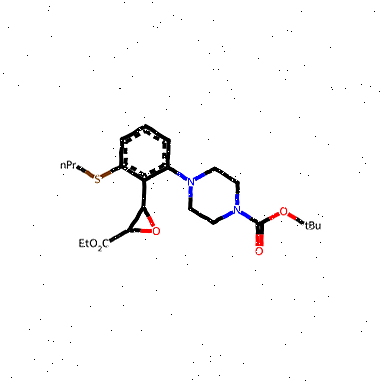 CCCSc1cccc(N2CCN(C(=O)OC(C)(C)C)CC2)c1C1OC1C(=O)OCC